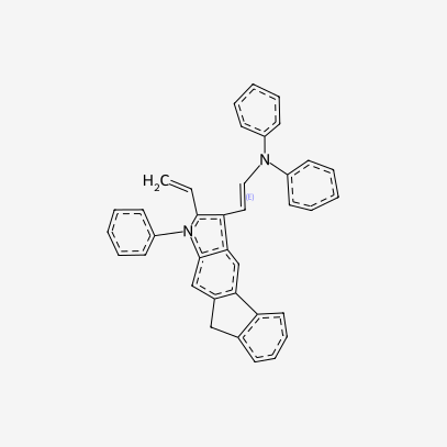 C=Cc1c(/C=C/N(c2ccccc2)c2ccccc2)c2cc3c(cc2n1-c1ccccc1)Cc1ccccc1-3